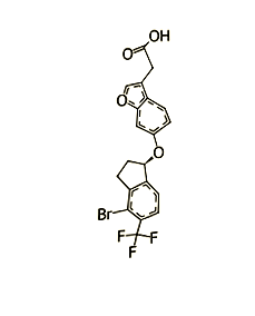 O=C(O)Cc1coc2cc(O[C@@H]3CCc4c3ccc(C(F)(F)F)c4Br)ccc12